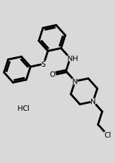 Cl.O=C(Nc1ccccc1Sc1ccccc1)N1CCN(CCCl)CC1